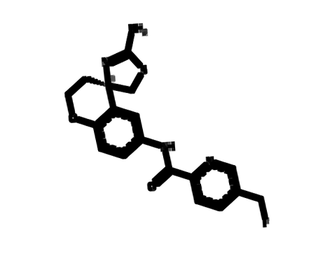 NC1=N[C@@]2(CCOc3ccc(NC(=O)c4ccc(CF)cn4)cc32)CS1